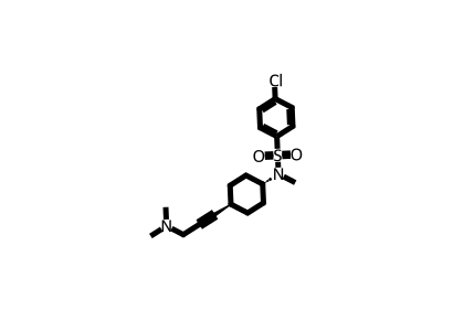 CN(C)CC#C[C@H]1CC[C@H](N(C)S(=O)(=O)c2ccc(Cl)cc2)CC1